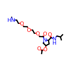 CNCCOCCOCCOCC(=O)N1CC(OC(C)=O)CC1C(=O)NCC(C)C